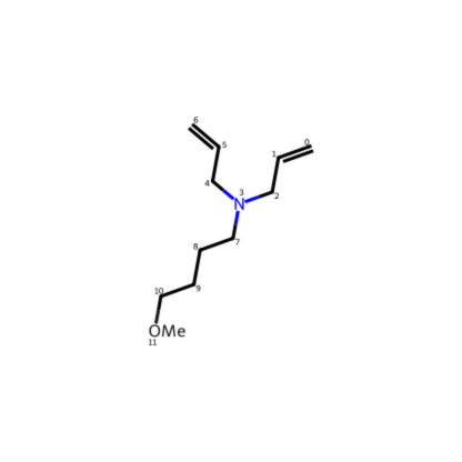 C=CCN(CC=C)CCCCOC